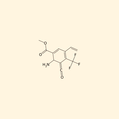 C=CC1=C(C(F)(F)F)C(=C=O)C(N)C(C(=O)OC)=C1